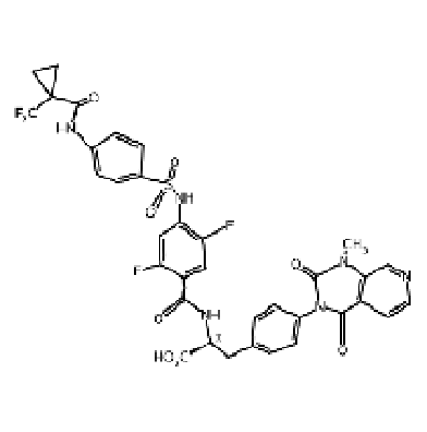 Cn1c(=O)n(-c2ccc(C[C@H](NC(=O)c3cc(F)c(NS(=O)(=O)c4ccc(NC(=O)C5(C(F)(F)F)CC5)cc4)cc3F)C(=O)O)cc2)c(=O)c2ccncc21